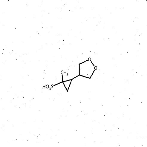 CC1(S(=O)(=O)O)CC1C1COOC1